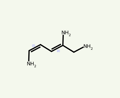 N/C=C\C=C(/N)CN